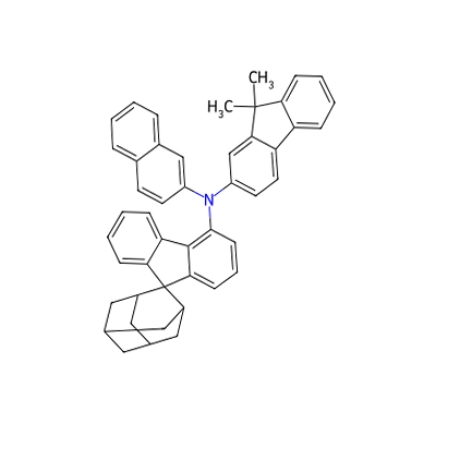 CC1(C)c2ccccc2-c2ccc(N(c3ccc4ccccc4c3)c3cccc4c3-c3ccccc3C43C4CC5CC(C4)CC3C5)cc21